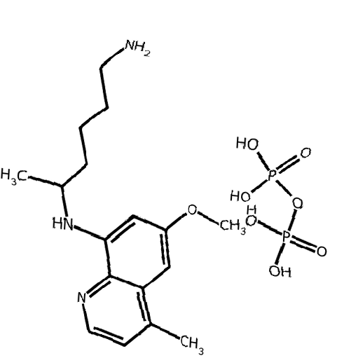 COc1cc(NC(C)CCCCN)c2nccc(C)c2c1.O=P(O)(O)OP(=O)(O)O